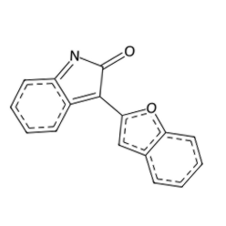 O=C1N=c2ccccc2=C1c1cc2ccccc2o1